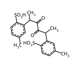 Cc1ccc(S(=O)(=O)O)c(C(C)C(=O)C(=O)C(C)c2cc(C)ccc2S(=O)(=O)O)c1